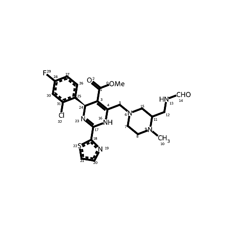 COC(=O)C1=C(CN2CCN(C)C(CNC=O)C2)NC(c2nccs2)=N[C@H]1c1ccc(F)cc1Cl